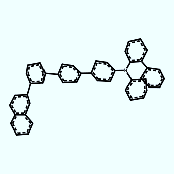 c1ccc(-c2ccccc2N(c2ccccc2)c2ccc(-c3ccc(-c4cccc(-c5ccc6ccccc6c5)c4)cc3)cc2)cc1